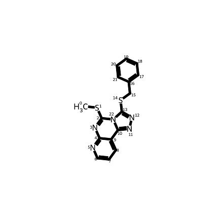 CSc1nc2ncccc2c2nnc(SCc3ccccc3)n12